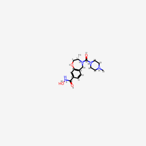 C[C@H]1COc2cc(C(=O)NO)ccc2CN1C(=O)N1CCN(C)CC1